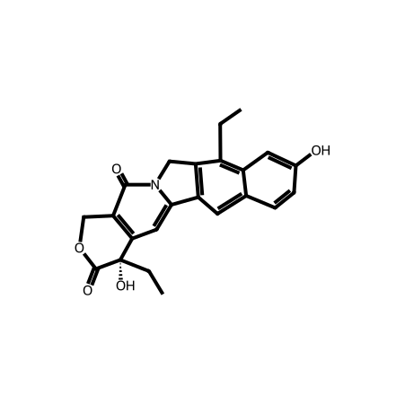 CCc1c2c(cc3ccc(O)cc13)-c1cc3c(c(=O)n1C2)COC(=O)[C@]3(O)CC